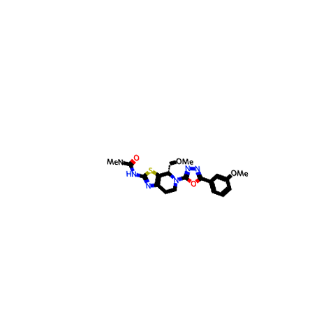 CNC(=O)Nc1nc2c(s1)[C@H](COC)N(c1nnc(-c3cccc(OC)c3)o1)CC2